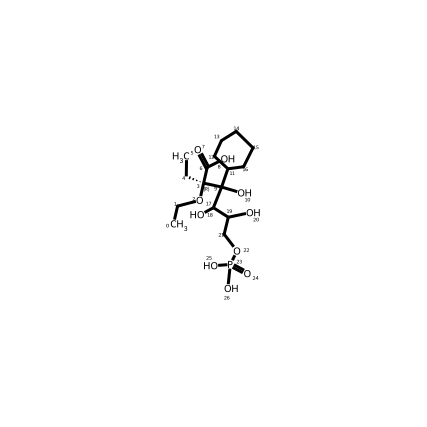 CCO[C@@](CC)(C(=O)O)C(O)(C1CCCCC1)C(O)C(O)COP(=O)(O)O